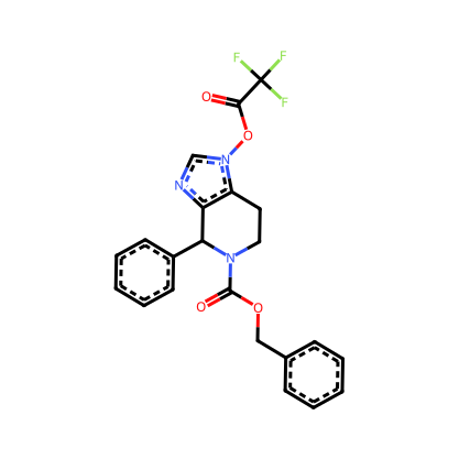 O=C(OCc1ccccc1)N1CCc2c(ncn2OC(=O)C(F)(F)F)C1c1ccccc1